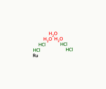 Cl.Cl.Cl.Cl.O.O.O.[Ru]